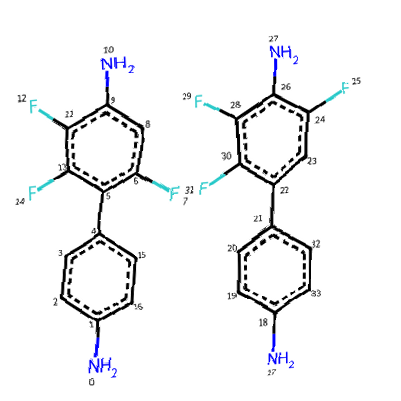 Nc1ccc(-c2c(F)cc(N)c(F)c2F)cc1.Nc1ccc(-c2cc(F)c(N)c(F)c2F)cc1